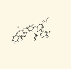 CCOC(=O)CC(c1cc(OC)cc(OC(F)(F)F)c1)c1ccc(C)c(CN2C[C@@H](C)Oc3ccccc3S2(=O)=O)c1